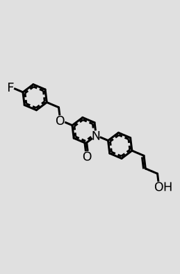 O=c1cc(OCc2ccc(F)cc2)ccn1-c1ccc(C=CCO)cc1